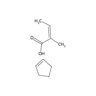 C1=CCCC1.CC=C(C)C(=O)O